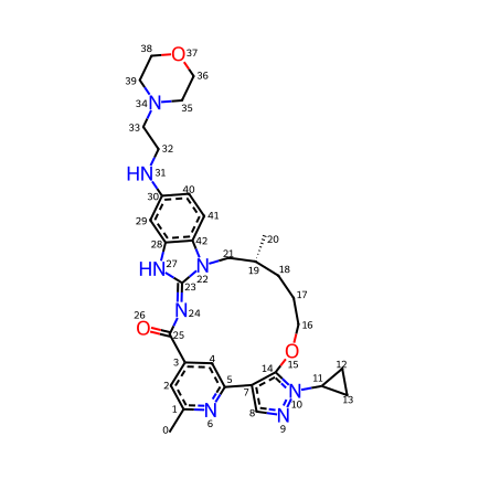 Cc1cc2cc(n1)-c1cnn(C3CC3)c1OCCC[C@@H](C)CN1/C(=N/C2=O)Nc2cc(NCCN3CCOCC3)ccc21